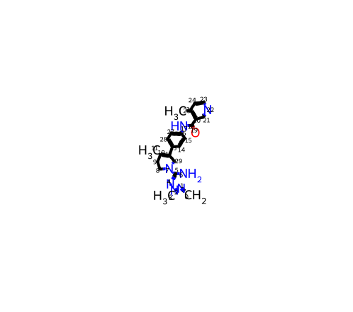 C=NN(C)/N=C(\N)N1CCC(C)=C(c2ccc(NC(=O)c3cnccc3C)cc2)C1